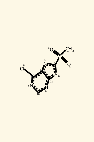 CS(=O)(=O)c1nc2c(Cl)ncnc2s1